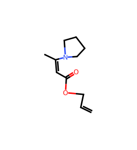 C=CCOC(=O)/C=C(/C)N1CCCC1